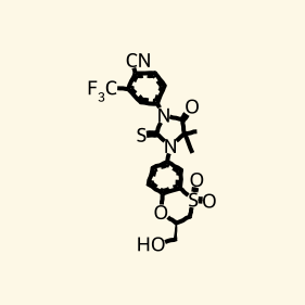 CC1(C)C(=O)N(c2ccc(C#N)c(C(F)(F)F)c2)C(=S)N1c1ccc2c(c1)S(=O)(=O)C[C@@H](CO)O2